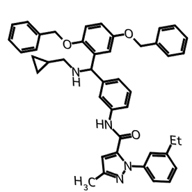 CCc1cccc(-n2nc(C)cc2C(=O)Nc2cccc(C(NCC3CC3)c3cc(OCc4ccccc4)ccc3OCc3ccccc3)c2)c1